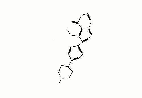 COc1c(-c2ccc(C3CCN(C)CC3)cc2)ccc2nc[nH]c(=O)c12.Cl.Cl